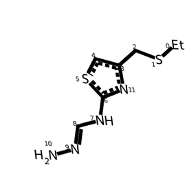 [CH2]CSCc1csc(NC=NN)n1